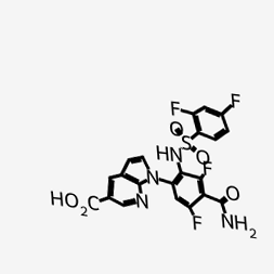 NC(=O)c1c(F)cc(-n2ccc3cc(C(=O)O)cnc32)c(NS(=O)(=O)c2ccc(F)cc2F)c1F